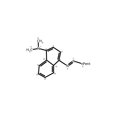 CCCCCN=Nc1ccc(N(C)C)c2ccccc12